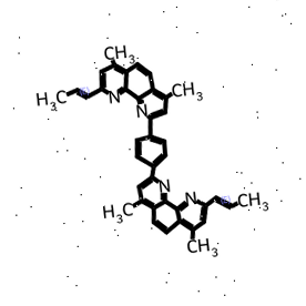 C/C=C/c1cc(C)c2ccc3c(C)cc(-c4ccc(-c5cc(C)c6ccc7c(C)cc(/C=C/C)nc7c6n5)cc4)nc3c2n1